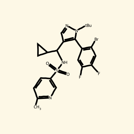 Cc1ccc(S(=O)(=O)NC(c2cnn(C(C)(C)C)c2-c2cc(F)c(F)cc2Br)C2CC2)cn1